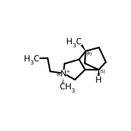 CCC[N@+]1(C)CC2C(C1)[C@]1(C)CC[C@H]2C1